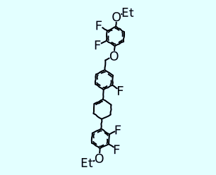 CCOc1ccc(OCc2ccc(C3=CCC(c4ccc(OCC)c(F)c4F)CC3)c(F)c2)c(F)c1F